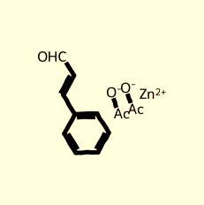 CC(=O)[O-].CC(=O)[O-].O=CC=Cc1ccccc1.[Zn+2]